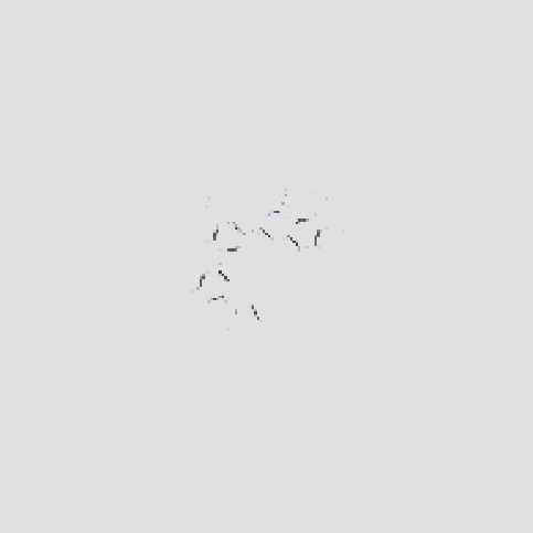 COc1cc(-c2cc3cc(OC)c(OC)c(OC)c3c(C)n2)cc(-c2cccc(C3C=COC3)c2)c1OC